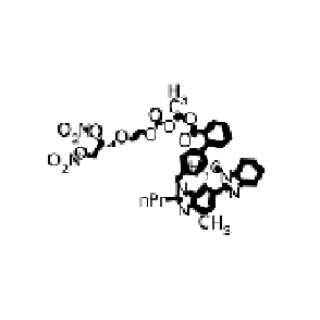 CCCc1nc2c(C)cc(-c3nc4ccccc4n3C)cc2n1Cc1ccc(-c2ccccc2C(=O)OC(C)OC(=O)OCCOC[C@H](CO[N+](=O)[O-])O[N+](=O)[O-])cc1